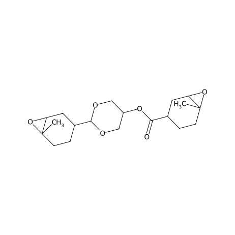 CC12CCC(C(=O)OC3COC(C4CCC5(C)OC5C4)OC3)CC1O2